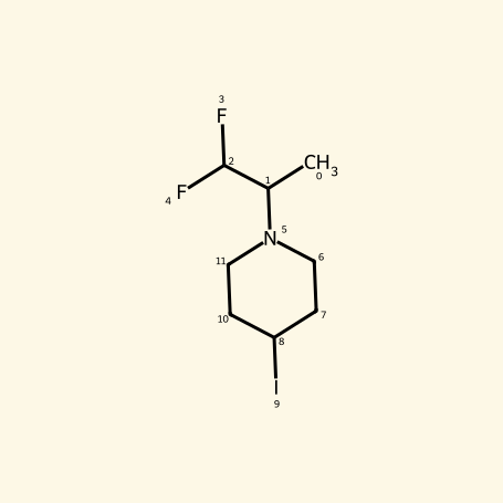 CC(C(F)F)N1CCC(I)CC1